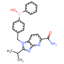 CC(C)c1nc2nc(C(N)=O)ccc2n1Cc1ccc(B(O)c2ccccc2)cc1